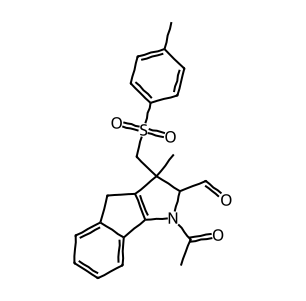 CC(=O)N1C2=C(Cc3ccccc32)C(C)(CS(=O)(=O)c2ccc(C)cc2)C1C=O